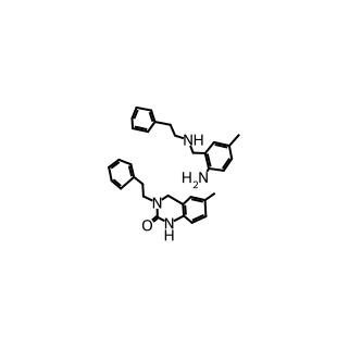 Cc1ccc(N)c(CNCCc2ccccc2)c1.Cc1ccc2c(c1)CN(CCc1ccccc1)C(=O)N2